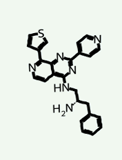 N[C@H](CNc1nc(-c2ccncc2)nc2c(-c3ccsc3)nccc12)Cc1ccccc1